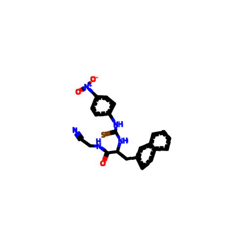 N#CCNC(=O)C(Cc1ccc2ccccc2c1)NC(=S)Nc1ccc([N+](=O)[O-])cc1